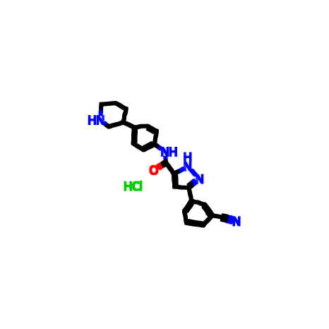 Cl.N#Cc1cccc(-c2cc(C(=O)Nc3ccc(C4CCCNC4)cc3)[nH]n2)c1